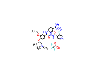 CCOc1cc(C(Nc2ccc(C(=N)N)cc2)C(=O)NNC(=O)c2ccncc2F)ccc1OC(C)CN(C)C.O=C(O)C(F)(F)F